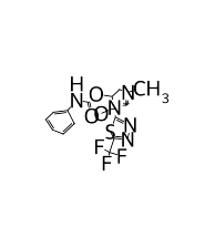 CN1CC(OC(=O)Nc2ccccc2)[N+]([O-])(c2nnc(C(F)(F)F)s2)C1